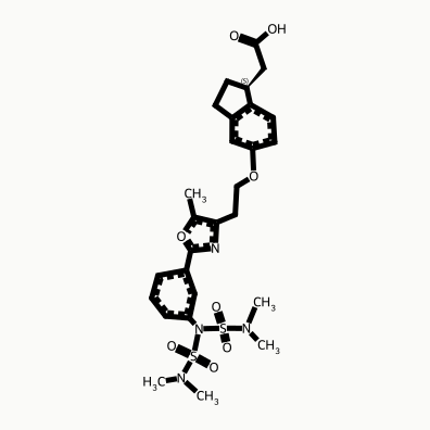 Cc1oc(-c2cccc(N(S(=O)(=O)N(C)C)S(=O)(=O)N(C)C)c2)nc1CCOc1ccc2c(c1)CC[C@H]2CC(=O)O